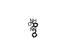 CNC(=O)c1cccc2c1cnn2Cc1ccccc1